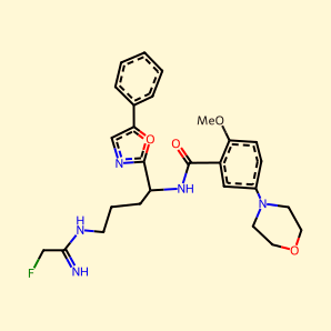 COc1ccc(N2CCOCC2)cc1C(=O)NC(CCCNC(=N)CF)c1ncc(-c2ccccc2)o1